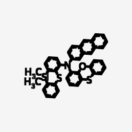 C[Si]1(C)c2ccccc2Sc2c(N(c3ccc4cc5ccccc5cc4c3)c3cccc4c3Oc3ccccc3S4)cccc21